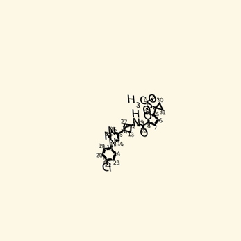 CS(=O)(=O)C1(c2ccc(C(=O)NC34CC(c5cn(-c6ccc(Cl)cc6)nn5)(C3)C4)o2)CC1